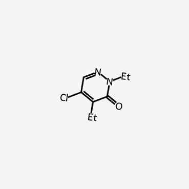 CCc1c(Cl)cnn(CC)c1=O